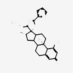 C[C@@H]1CC2C3CCC4=CC(=O)C=C(O)[C@]4(C)[C@@]3(F)CC[C@]2(C)[C@@]1(OC(=O)c1ccco1)C(=O)SO